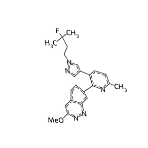 COc1cc2ccc(-c3nc(C)ccc3-c3cnn(CCC(C)(C)F)c3)cc2nn1